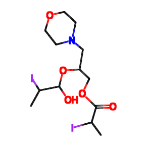 CC(I)C(=O)OCC(CN1CCOCC1)OC(O)C(C)I